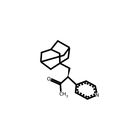 CC(=O)[C@@H](CC12CC3CC(CC(C3)C1)C2)c1ccncc1